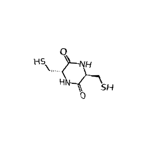 O=C1N[C@H](CS)C(=O)N[C@H]1CS